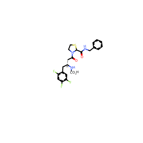 O=C(O)N[C@@H](CC(=O)N1CCSC1C(=O)NCc1ccccc1)Cc1cc(F)c(F)cc1F